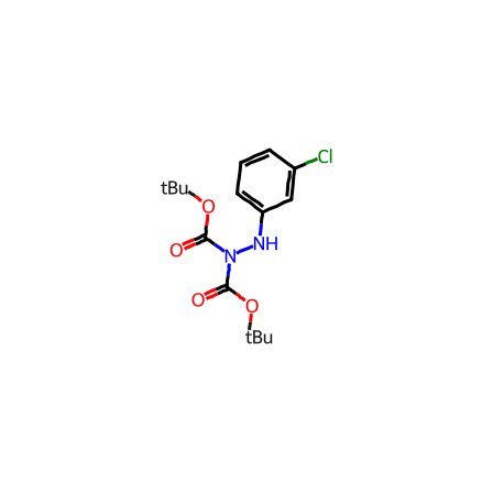 CC(C)(C)OC(=O)N(Nc1cccc(Cl)c1)C(=O)OC(C)(C)C